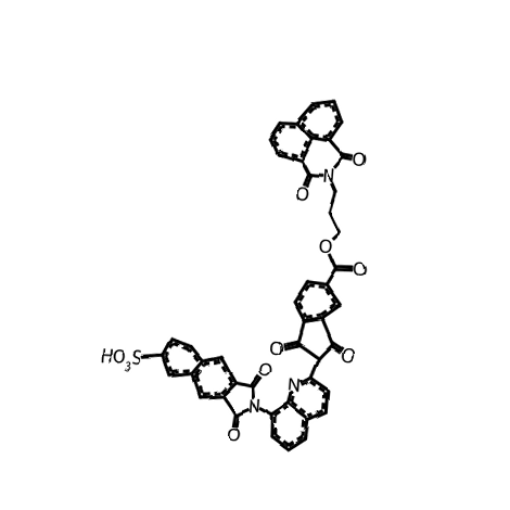 O=C(OCCCN1C(=O)c2cccc3cccc(c23)C1=O)c1ccc2c(c1)C(=O)C(c1ccc3cccc(N4C(=O)c5cc6ccc(S(=O)(=O)O)cc6cc5C4=O)c3n1)C2=O